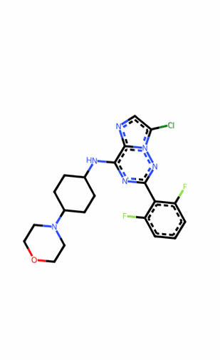 Fc1cccc(F)c1-c1nc(NC2CCC(N3CCOCC3)CC2)c2ncc(Cl)n2n1